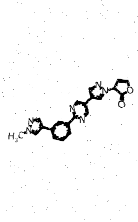 Cn1cc(-c2cccc(-c3ncc(-c4cnn(C5C=COC5=O)c4)cn3)c2)cn1